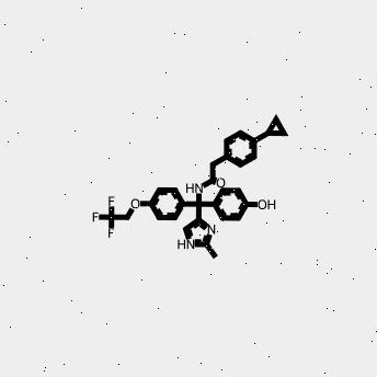 Cc1nc(C(NC(=O)Cc2ccc(C3CC3)cc2)(c2ccc(O)cc2)c2ccc(OCC(F)(F)F)cc2)c[nH]1